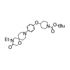 CCN1CC2(CCN(c3ccc(OC4CCN(C(=O)OC(C)(C)C)CC4)cc3)CC2)OCC1=O